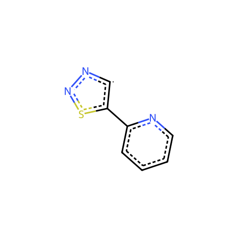 [c]1nnsc1-c1ccccn1